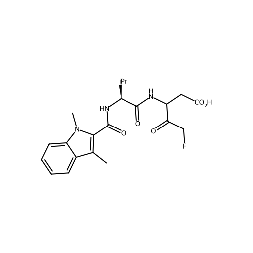 Cc1c(C(=O)N[C@H](C(=O)NC(CC(=O)O)C(=O)CF)C(C)C)n(C)c2ccccc12